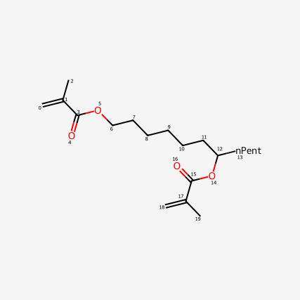 C=C(C)C(=O)OCCCCCCC(CCCCC)OC(=O)C(=C)C